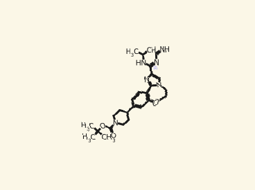 CC(C)N/C(=N\C=N)c1cn2c(n1)-c1ccc(C3CCN(C(=O)OC(C)(C)C)CC3)cc1OCC2